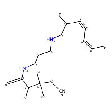 C=C(NCCCNCC(C)/C=C\C=C/C)C(C)C(C)(C)CC#N